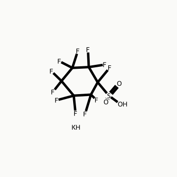 O=S(=O)(O)C1(F)C(F)(F)C(F)(F)C(F)(F)C(F)(F)C1(F)F.[KH]